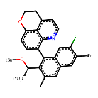 CCOC(=O)[C@@H](OC(C)(C)C)c1c(C)cc2cc(C(C)C)c(F)cc2c1-c1ccc2c3c(ccnc13)CCO2